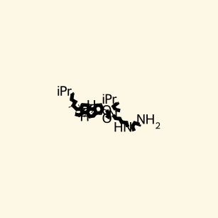 CC(C)CCC[C@@H](C)[C@H]1CC[C@H]2[C@@H]3CC=C4C[C@@H](OC(=O)N(CCCCNC(C)CCN)C(C)CCC(C)C)CC[C@]4(C)[C@H]3CC[C@]12C